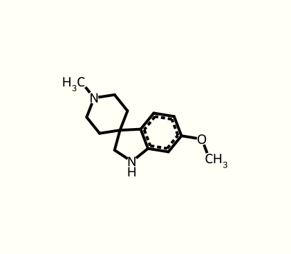 COc1ccc2c(c1)NCC21CCN(C)CC1